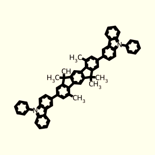 Cc1cc(-c2ccc3c(c2)c2ccccc2n3-c2ccccc2)cc2c1-c1cc3c(cc1C2(C)C)-c1c(C)cc(-c2ccc4c(c2)c2ccccc2n4-c2ccccc2)cc1C3(C)C